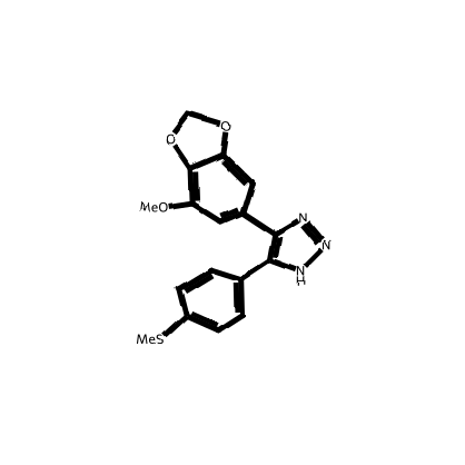 COc1cc(-c2nn[nH]c2-c2c[c]c(SC)cc2)cc2c1OCO2